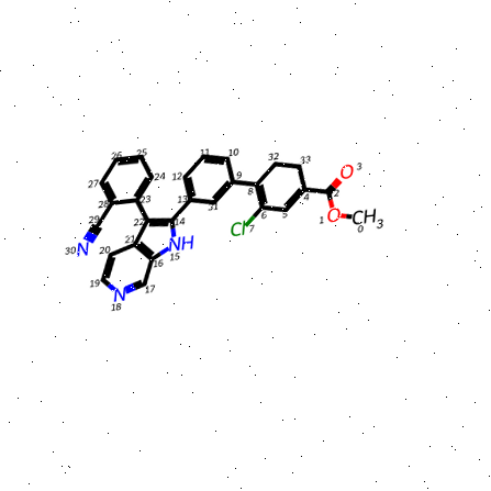 COC(=O)C1=CC(Cl)=C(c2cccc(-c3[nH]c4cnccc4c3-c3ccccc3C#N)c2)CC1